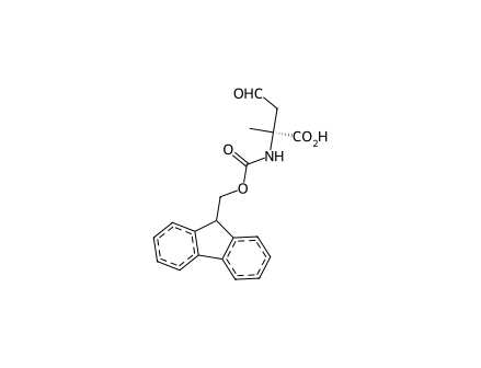 C[C@@](CC=O)(NC(=O)OCC1c2ccccc2-c2ccccc21)C(=O)O